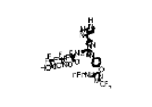 CCCNCc1cc(O[C@H]2CC[C@@H](N3CC(CC#N)(n4cc(-c5ncnc6[nH]ccc56)cn4)C3)CC2)nc(C(F)(F)F)n1.O=C(O)C(F)(F)F.O=C(O)C(F)(F)F.O=C(O)C(F)(F)F